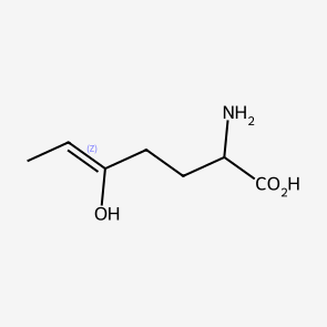 C/C=C(\O)CCC(N)C(=O)O